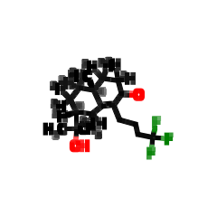 [2H]C1([2H])C(=O)C(CCCC(F)(F)F)=C2C([2H])([2H])[C@]([2H])(C(C)(C)O)C([2H])([2H])C([2H])([2H])[C@]2(C)C1([2H])[2H]